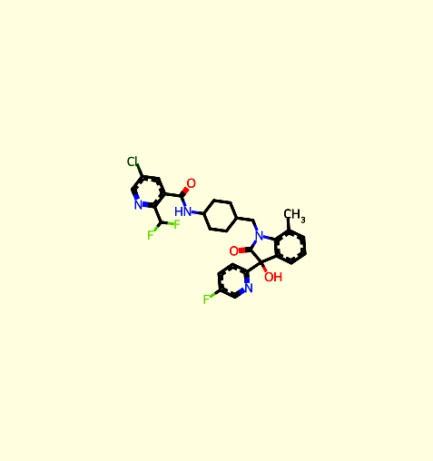 Cc1cccc2c1N(CC1CCC(NC(=O)c3cc(Cl)cnc3C(F)F)CC1)C(=O)C2(O)c1ccc(F)cn1